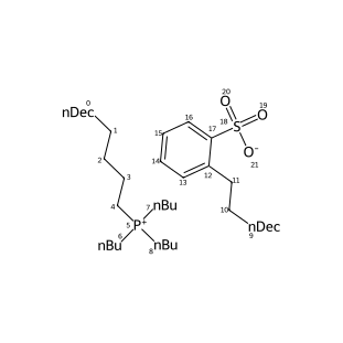 CCCCCCCCCCCCCC[P+](CCCC)(CCCC)CCCC.CCCCCCCCCCCCc1ccccc1S(=O)(=O)[O-]